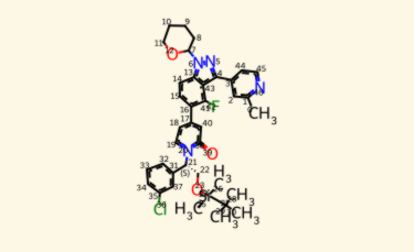 Cc1cc(-c2nn(C3CCCCO3)c3ccc(-c4ccn([C@H](CO[Si](C)(C)C(C)(C)C)c5cccc(Cl)c5)c(=O)c4)c(F)c23)ccn1